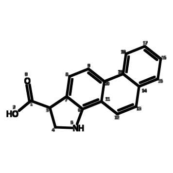 O=C(O)C1CNc2c1ccc1c2ccc2ccccc21